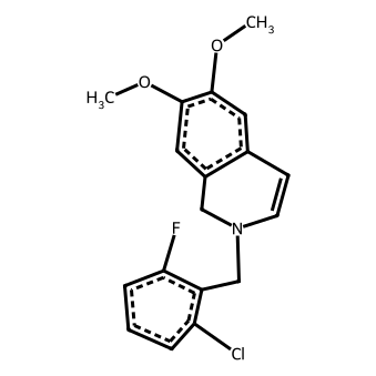 COc1cc2c(cc1OC)CN(Cc1c(F)cccc1Cl)C=C2